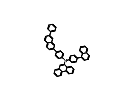 c1ccc(-c2ccc3ccc(-c4ccc(N(c5ccc(-c6cccc7ccccc67)cc5)c5cc6ccccc6c6ccccc56)cc4)cc3c2)cc1